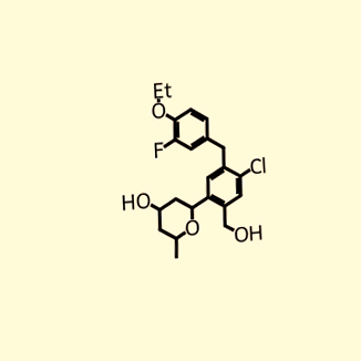 CCOc1ccc(Cc2cc(C3CC(O)CC(C)O3)c(CO)cc2Cl)cc1F